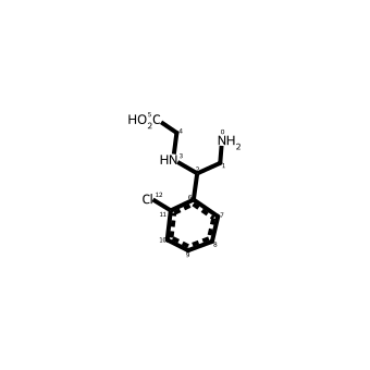 NCC(NCC(=O)O)c1ccccc1Cl